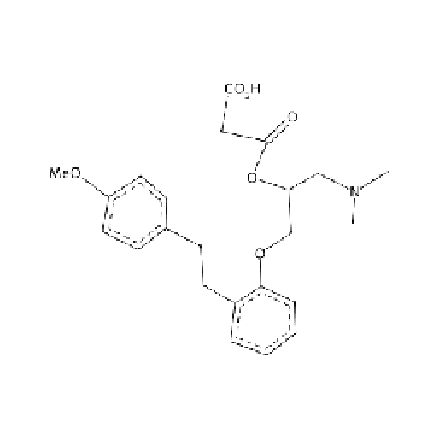 COc1ccc(CCc2ccccc2OCC(CN(C)C)OC(=O)CC(=O)O)cc1